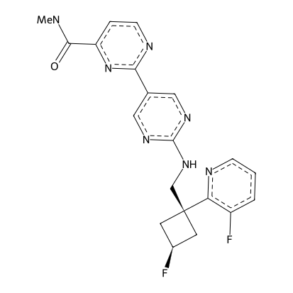 CNC(=O)c1ccnc(-c2cnc(NC[C@]3(c4ncccc4F)C[C@H](F)C3)nc2)n1